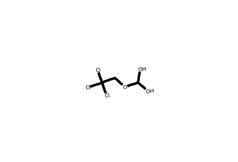 OC(O)OCC(Cl)(Cl)Cl